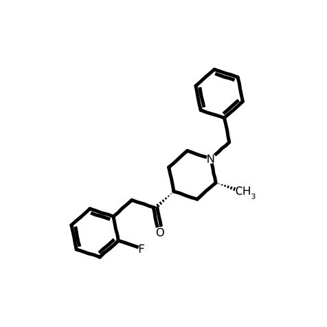 C[C@@H]1C[C@H](C(=O)Cc2ccccc2F)CCN1Cc1ccccc1